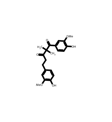 COc1cc(CCC(=O)C(C)(C)C(=O)c2ccc(O)c(OC)c2)ccc1O